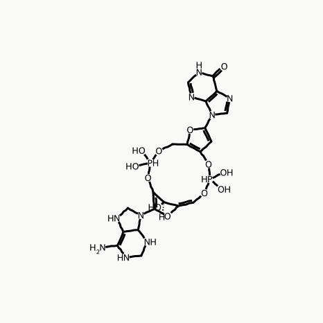 NC1=C2NCN(C3=C4O[PH](O)(O)OCc5oc(-n6cnc7c(=O)[nH]cnc76)cc5O[PH](O)(O)O/C=C(/O3)[C@H]4O)C2NCN1